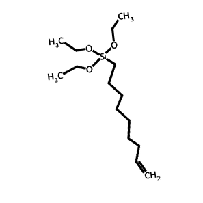 C=CCCCCCCC[Si](OCC)(OCC)OCC